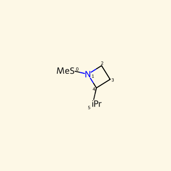 CSN1CCC1C(C)C